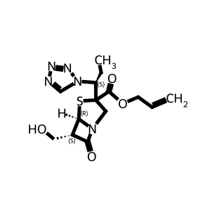 C=CCOC(=O)C1([C@H](CC)n2cnnn2)CN2C(=O)[C@H](CO)[C@H]2S1